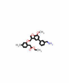 CCOC(=O)Cc1ccc(C)cc1OCc1coc2c(OC)cc(-c3cccc(CN)c3)cc12